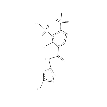 CCCS(=O)(=O)c1c(S(C)(=O)=O)ccc(C(=O)Nc2nnc(C(C)C)o2)c1Cl